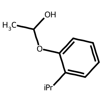 CC(O)Oc1ccccc1C(C)C